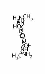 CC(N)CNCC(O)COc1ccc(OCC(O)CNCC(C)N)cc1